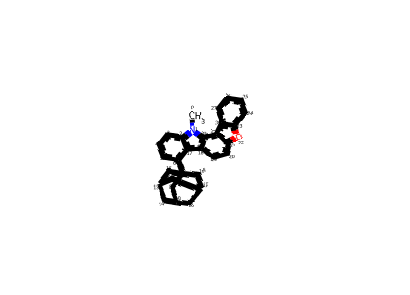 Cn1c2cccc(C34CC5CC(CC(C5)C3)C4)c2c2ccc3oc4ccccc4c3c21